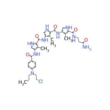 CCCN(CCCl)c1ccc(C(=O)Nc2c[nH]c(C(=O)Nc3c[nH]c(C(=O)Nc4c[nH]c(C(=O)NCCC(N)=O)c4C)c3C)c2C)cc1